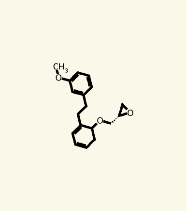 COc1cccc(CCC2=CC=CCC2OC[C@@H]2CO2)c1